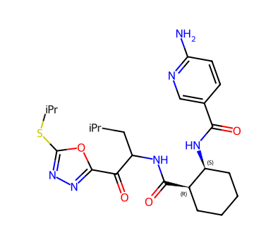 CC(C)CC(NC(=O)[C@@H]1CCCC[C@@H]1NC(=O)c1ccc(N)nc1)C(=O)c1nnc(SC(C)C)o1